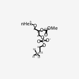 CCCCCCOCC(COP(=O)([O-])OCC[N+](C)(C)C)OC(=O)OC